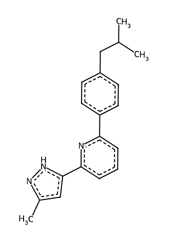 Cc1cc(-c2cccc(-c3ccc(CC(C)C)cc3)n2)[nH]n1